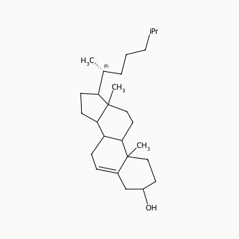 CC(C)CCC[C@@H](C)C1CCC2C3CC=C4CC(O)CCC4(C)C3CCC21C